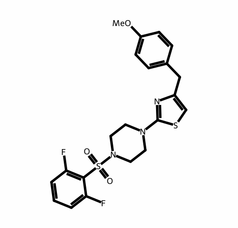 COc1ccc(Cc2csc(N3CCN(S(=O)(=O)c4c(F)cccc4F)CC3)n2)cc1